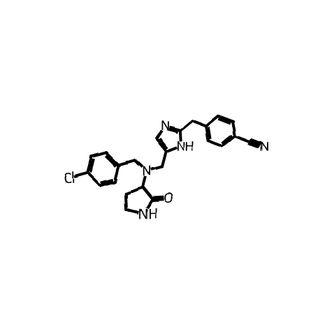 N#Cc1ccc(Cc2ncc(CN(Cc3ccc(Cl)cc3)C3CCNC3=O)[nH]2)cc1